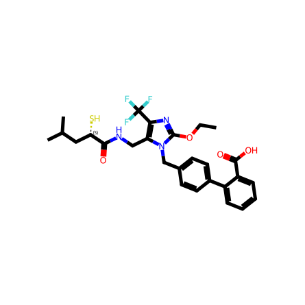 CCOc1nc(C(F)(F)F)c(CNC(=O)[C@@H](S)CC(C)C)n1Cc1ccc(-c2ccccc2C(=O)O)cc1